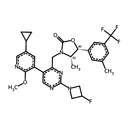 COc1ncc(C2CC2)cc1-c1cnc(N2CC(F)C2)nc1CN1C(=O)O[C@H](c2cc(C)cc(C(F)(F)F)c2)[C@@H]1C